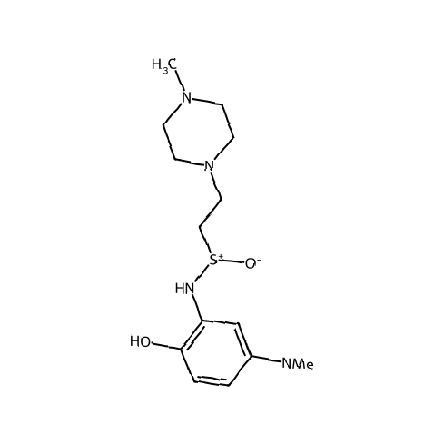 CNc1ccc(O)c(N[S+]([O-])CCN2CCN(C)CC2)c1